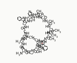 CC(C)C[C@@H]1NC(=O)[C@H](C)NC(=O)CNC(=O)[C@H](CC(C)C)NC(=O)[C@H](Cc2cnc[nH]2)NC(=O)[C@H](Cc2c[nH]c3ccccc23)NC(=O)CNC(=O)[C@@H]2CSSC[C@H](NC(=O)[C@H](Cc3c[nH]c4ccccc34)NC(=O)[C@H](C(C)C)NC1=O)C(=O)N[C@@H]([C@@H](C)O)C(=O)N1CCC[C@@H]1C(=O)N1C[C@@H](N)C[C@H]1C(=O)N[C@@H](C)C(=O)N2